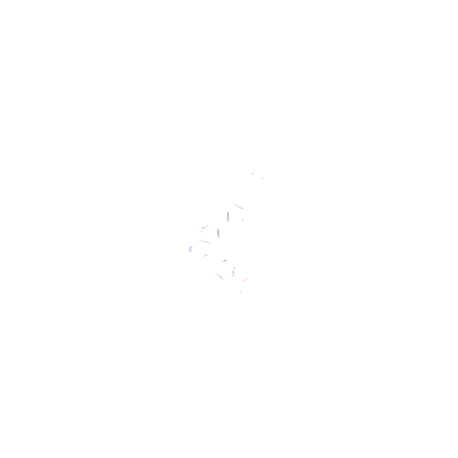 C[C@@H]1CCCN1C1CCc2ccc(-c3cnc4[nH]nc(-c5cc(F)c6c(c5)OCCNC6=O)c4c3)cc2CC1